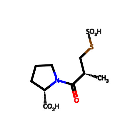 C[C@@H](CSS(=O)(=O)O)C(=O)N1CCC[C@H]1C(=O)O